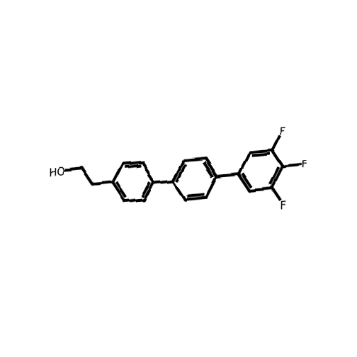 OCCc1ccc(-c2ccc(-c3cc(F)c(F)c(F)c3)cc2)cc1